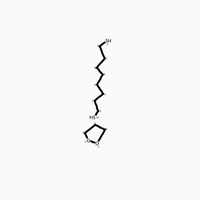 C1COOC1.SCCCCCCCCS